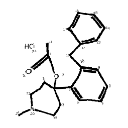 CC(=O)OC1(c2ccccc2Cc2ccccc2)CCN(C)CC1.Cl